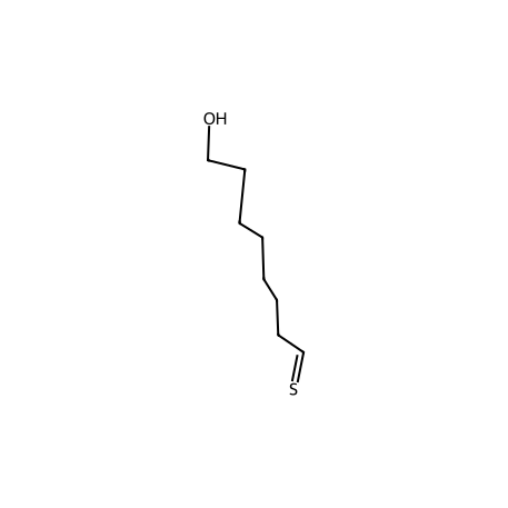 OCCCCCCCC=S